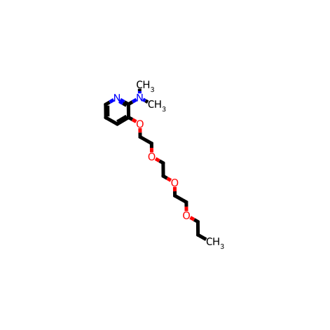 CCCOCCOCCOCCOc1cccnc1N(C)C